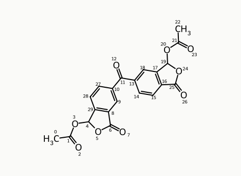 CC(=O)OC1OC(=O)c2cc(C(=O)c3ccc4c(c3)C(OC(C)=O)OC4=O)ccc21